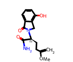 C=C(CC[C@@H](C(N)=O)N1Cc2c(O)cccc2C1=O)OC